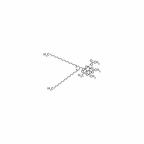 CCCCCCCCCCCCCCCCSCC(CO[C@H]1O[C@H](COC(C)=O)[C@@H](OC(C)=O)[C@H](OC(C)=O)[C@H]1OC(C)=O)CSCCCCCCCCCCCCCCCC